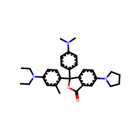 CCN(CC)c1ccc(C2(c3ccc(N(C)C)cc3)OC(=O)c3cc(N4CCCC4)ccc32)c(C)c1